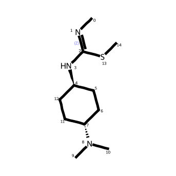 C/N=C(/N[C@H]1CC[C@H](N(C)C)CC1)SC